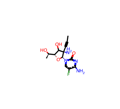 CC#C[C@@]1(N)C(O)[C@@H]([C@@H](C)O)O[C@H]1n1cc(F)c(N)nc1=O